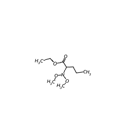 CCCC(C(=O)OCC)N(OC)OC